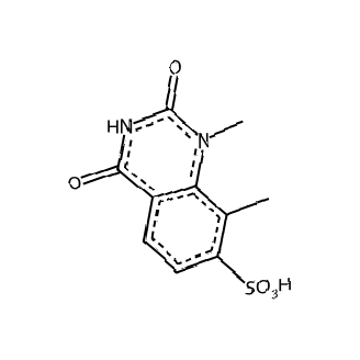 Cc1c(S(=O)(=O)O)ccc2c(=O)[nH]c(=O)n(C)c12